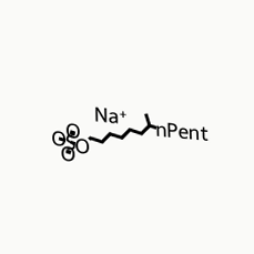 CCCCCC(C)CCCCCCOS(=O)(=O)[O-].[Na+]